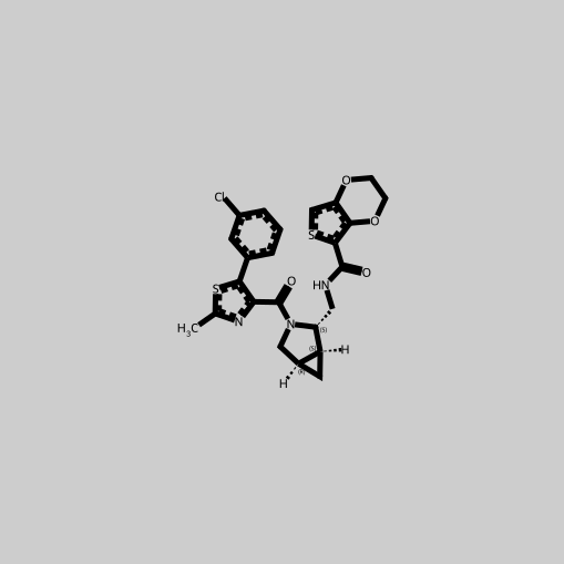 Cc1nc(C(=O)N2C[C@@H]3C[C@@H]3[C@H]2CNC(=O)c2scc3c2OCCO3)c(-c2cccc(Cl)c2)s1